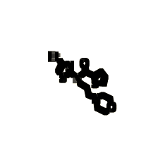 CCc1csc(N(CCCN2CCOCC2)C(=O)c2cccs2)n1